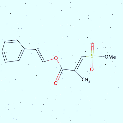 COS(=O)(=O)C=C(C)C(=O)OC=Cc1ccccc1